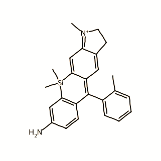 Cc1ccccc1C1=c2cc3c(cc2[Si](C)(C)c2cc(N)ccc21)=[N+](C)CC3